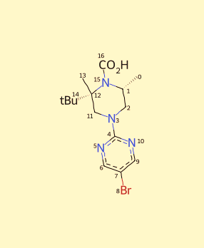 C[C@@H]1CN(c2ncc(Br)cn2)C[C@](C)(C(C)(C)C)N1C(=O)O